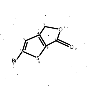 O=C1OCc2cc(Br)sc21